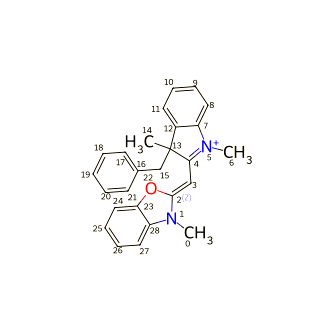 CN1/C(=C/C2=[N+](C)c3ccccc3C2(C)Cc2ccccc2)Oc2ccccc21